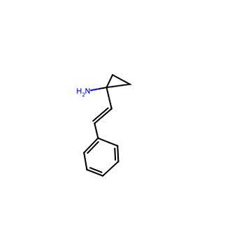 NC1(C=Cc2ccccc2)CC1